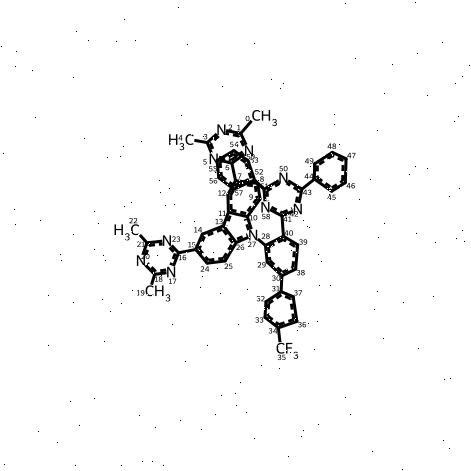 Cc1nc(C)nc(-c2ccc3c(c2)c2cc(-c4nc(C)nc(C)n4)ccc2n3-c2cc(-c3ccc(C(F)(F)F)cc3)ccc2-c2nc(-c3ccccc3)nc(-c3ccccc3)n2)n1